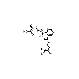 C=C(CCOC(=O)c1ccccc1C(=O)OCCC(=C)C(=O)O)C(=O)O